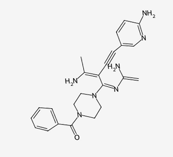 C=C(N)/N=C(\C(C#Cc1ccc(N)nc1)=C(\C)N)N1CCN(C(=O)c2ccccc2)CC1